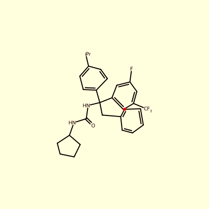 CC(C)c1ccc(C(Cc2ccccc2)(NC(=O)NC2CCCC2)c2cc(F)cc(C(F)(F)F)c2)cc1